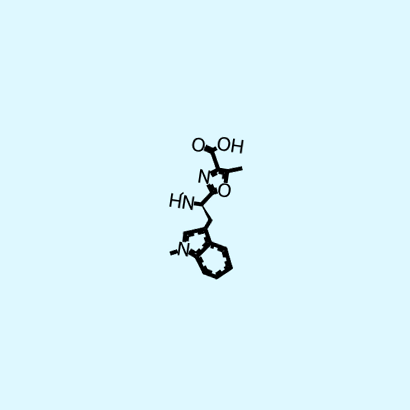 CN[C@H](Cc1cn(C)c2ccccc12)c1nc(C(=O)O)c(C)o1